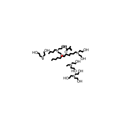 C=C(C)C(=O)O.CCCCCCCCCCCCN(CCO)CCO.CCCCN(CCO)CCO.CCN(CCO)CCO.CN(CCO)CCO.OCCN(CCO)CCO